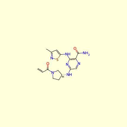 C=CC(=O)N1CC[C@@H](Nc2cnc(C(N)=O)c(Nc3cc(C)ns3)n2)C1